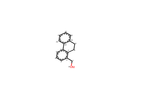 OCc1cccc2c1CCc1ccccc1-2